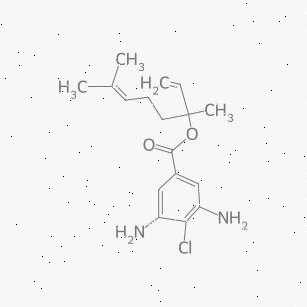 C=CC(C)(CCC=C(C)C)OC(=O)c1cc(N)c(Cl)c(N)c1